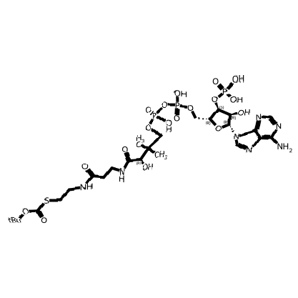 CC(C)(C)OC(=O)SCCNC(=O)CCNC(=O)[C@H](O)C(C)(C)COP(=O)(O)OP(=O)(O)OC[C@H]1O[C@@H](n2cnc3c(N)ncnc32)[C@H](O)[C@@H]1OP(=O)(O)O